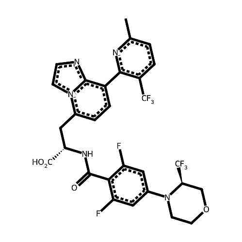 Cc1ccc(C(F)(F)F)c(-c2ccc(C[C@H](NC(=O)c3c(F)cc(N4CCOC[C@@H]4C(F)(F)F)cc3F)C(=O)O)n3ccnc23)n1